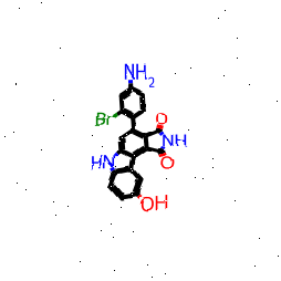 Nc1ccc(-c2cc3[nH]c4ccc(O)cc4c3c3c2C(=O)NC3=O)c(Br)c1